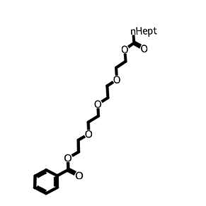 CCCCCCCC(=O)OCCOCCOCCOCCOC(=O)c1ccccc1